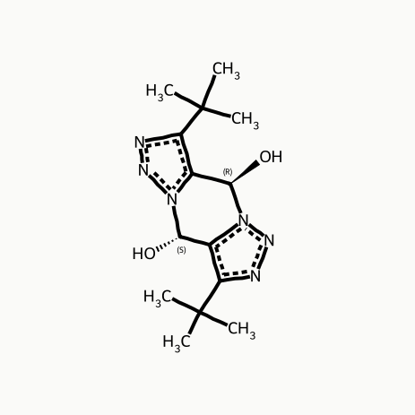 CC(C)(C)c1nnn2c1[C@H](O)n1nnc(C(C)(C)C)c1[C@H]2O